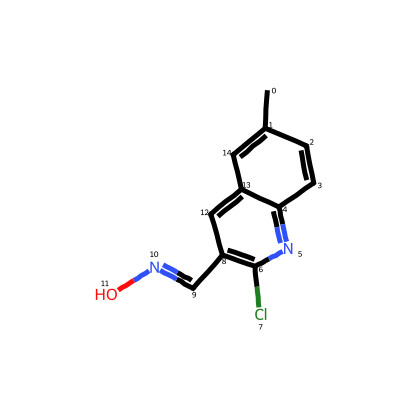 Cc1ccc2nc(Cl)c(C=NO)cc2c1